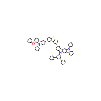 c1ccc(-c2cc(-c3ccccc3)cc(-n3c4ccc(-c5ccc6sc7ccc(-c8ccc9c(c8)c8ccc%10c%11ccccc%11oc%10c8n9-c8ccccc8)cc7c6c5)cc4c4cc5c(cc43)c3ccccc3n5-c3ccccc3)c2)cc1